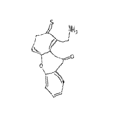 NCC1=c2c(oc3ccccc3c2=O)=CCC1=S